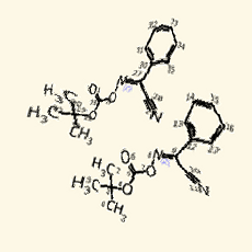 CC(C)(C)OC(=O)O/N=C(\C#N)c1ccccc1.CC(C)(C)OC(=O)O/N=C(\C#N)c1ccccc1